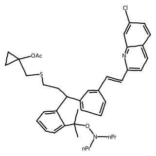 CCCN(CCC)OC(C)(C)c1ccccc1C(CCSCC1(OC(C)=O)CC1)c1cccc(C=Cc2ccc3ccc(Cl)cc3n2)c1